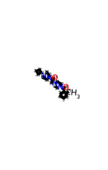 Cc1ccccc1C(=O)N1CCN(CC(=O)N2CCN(C3CCC3)CC2)CC1